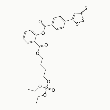 CCOP(=O)(OCC)OCCCCOC(=O)c1ccccc1OC(=O)c1ccc(-c2cc(=S)ss2)cc1